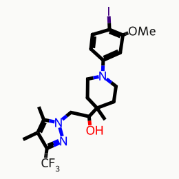 COc1cc(N2CCC(C)(C(O)Cn3nc(C(F)(F)F)c(C)c3C)CC2)ccc1I